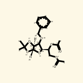 CC(=O)OCC(OC(C)=O)[C@H]1O[C@@H]2OC(C)(C)O[C@H]2C1OCc1ccccc1